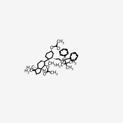 C=C1CC[C@@H]2[C@H](OC(C)=O)[C@H]([C@@]3(C)CC[C@H](OC(C)=O)C[C@@H]3CCO[Si](c3ccccc3)(c3ccccc3)C(C)(C)C)CC[C@]12C